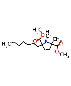 CCCCCCCC1(C(=O)OC)CCC(C)(C(=O)OC)N1C